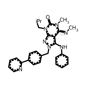 C/N=c1/c2c(Nc3ccccc3)n(Cc3ccc(-c4ccccn4)cc3)nc2n(CC(C)C)c(=O)n1C